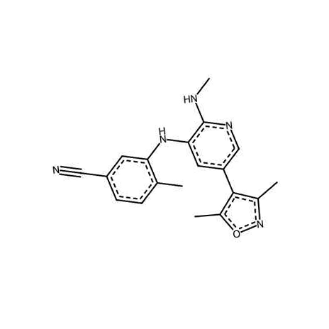 CNc1ncc(-c2c(C)noc2C)cc1Nc1cc(C#N)ccc1C